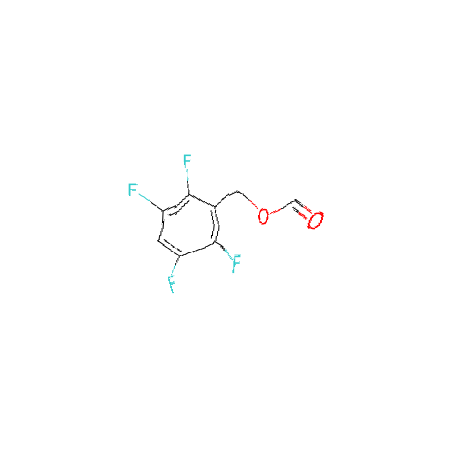 O=COCc1c(F)c(F)cc(F)c1F